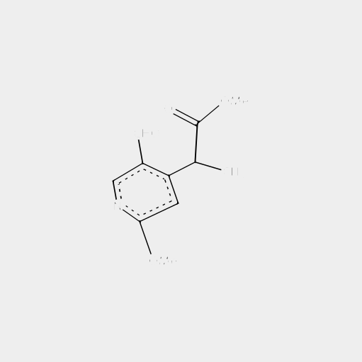 COC(=O)C(C)c1cc(OC)ncc1C=O